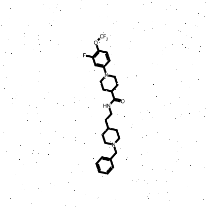 O=C(NCCC1CCN(Cc2ccccc2)CC1)C1CCN(c2ccc(OC(F)(F)F)c(F)c2)CC1